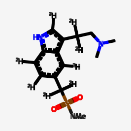 [2H]c1[nH]c2c([2H])c([2H])c(C([2H])([2H])S(=O)(=O)NC)c([2H])c2c1C([2H])([2H])CN(C)C